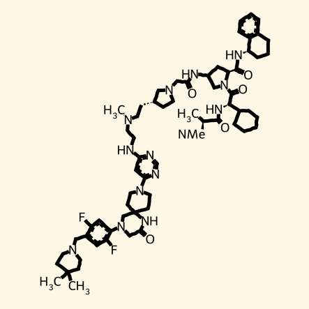 CN[C@@H](C)C(=O)N[C@H](C(=O)N1CC(NC(=O)CN2CC[C@H](CCN(C)CCNc3cc(N4CCC5(CC4)CN(c4cc(F)c(CN6CCC(C)(C)CC6)cc4F)CC(=O)N5)ncn3)C2)C[C@H]1C(=O)N[C@H]1CCCc2ccccc21)C1CCCCC1